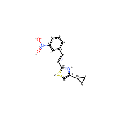 O=[N+]([O-])c1cccc(/C=C/c2nc(C3CC3)cs2)c1